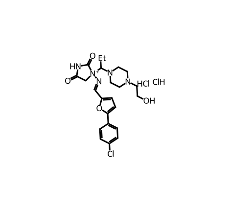 CCC(N1CCN(CCO)CC1)[N+]1(N=Cc2ccc(-c3ccc(Cl)cc3)o2)CC(=O)NC1=O.Cl.Cl